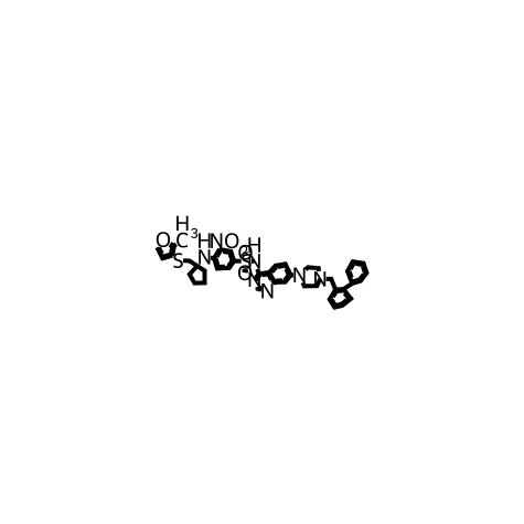 Cc1occc1SCC1(Nc2ccc(S(=O)(=O)Nc3ncnc4cc(N5CCN(Cc6ccccc6-c6ccccc6)CC5)ccc34)cc2[N+](=O)[O-])CCCC1